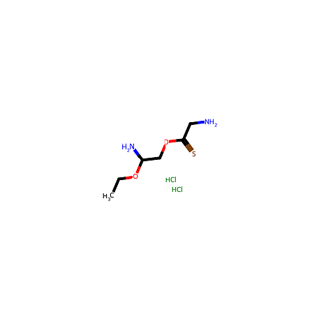 CCOC(N)COC(=S)CN.Cl.Cl